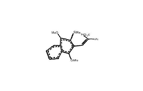 CCC/C(=C/c1c(SC)c(OC)c2ccccc2c1OC)C(=O)O